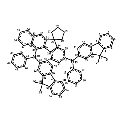 CC1(C)c2ccccc2-c2ccc(N(c3ccccc3)c3ccc4c(c3)C3(CCCC3)c3cc5ccccc5c(N(c5ccccc5)c5ccc6c(c5)C(C)(C)c5ccccc5-6)c3-4)cc21